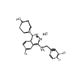 Cl.N#Cc1ccc2c(N3CCC(O)CC3)nnc(NCc3ccc(Cl)c(Cl)c3)c2c1